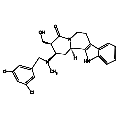 CN(Cc1cc(Cl)cc(Cl)c1)[C@@H]1C[C@@H]2c3[nH]c4ccccc4c3CCN2C(=O)[C@@H]1CO